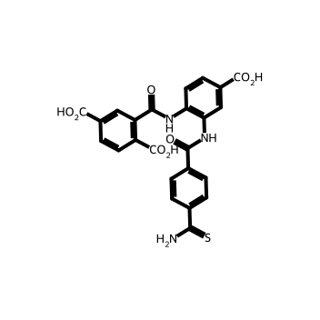 NC(=S)c1ccc(C(=O)Nc2cc(C(=O)O)ccc2NC(=O)c2cc(C(=O)O)ccc2C(=O)O)cc1